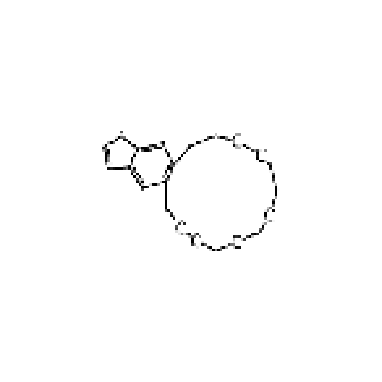 [CH]1C=Cc2cc3c(cc21)CCCCCCCCCCCCC3